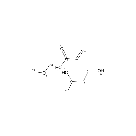 C=CC(=O)O.CC(O)CCO.COC